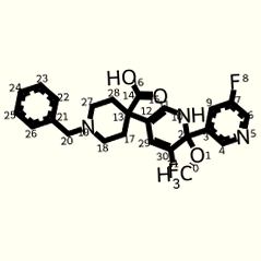 COC1(c2cncc(F)c2)NC=C(C2(C(=O)O)CCN(Cc3ccccc3)CC2)C=C1F